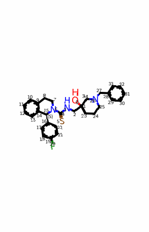 OC1(CNC(=S)N2CCc3ccccc3[C@@H]2c2ccc(F)cc2)CCCN(Cc2ccccc2)C1